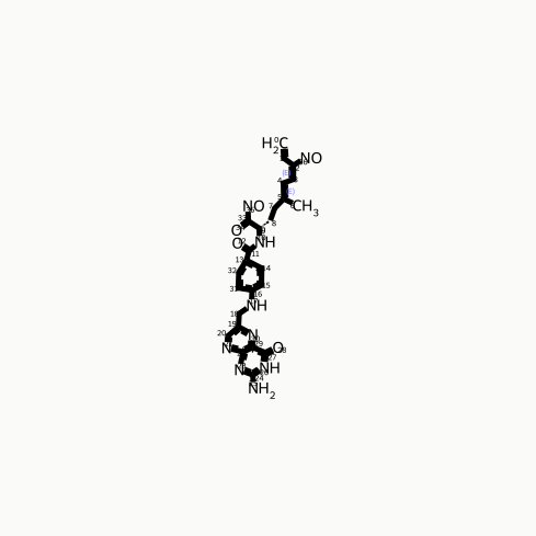 C=C/C(=C\C=C(/C)CC[C@H](NC(=O)c1ccc(NCc2cnc3nc(N)[nH]c(=O)c3n2)cc1)C(=O)N=O)N=O